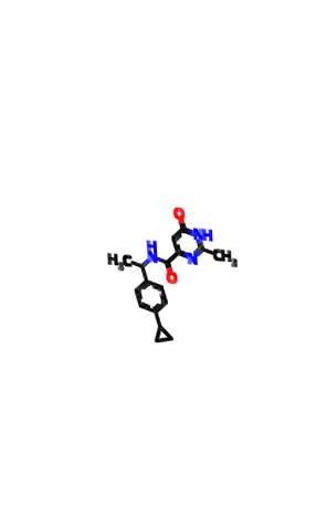 Cc1nc(C(=O)NC(C)c2ccc(C3CC3)cc2)cc(=O)[nH]1